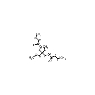 CCCC(=O)OCC(CC)(COC)COC(=O)CCC